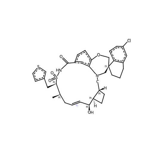 C[C@@H]1C/C=C/[C@H](O)[C@@H]2CC[C@H]2CN2C[C@@]3(CCCc4cc(Cl)ccc43)COc3ccc(cc32)C(=O)NS(=O)(=O)[C@@H]1Cc1ccsc1